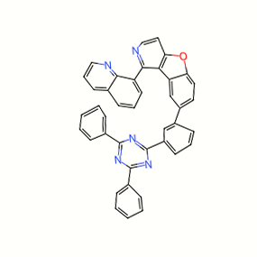 c1ccc(-c2nc(-c3ccccc3)nc(-c3cccc(-c4ccc5oc6ccnc(-c7cccc8cccnc78)c6c5c4)c3)n2)cc1